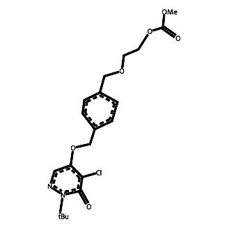 COC(=O)OCCOCc1ccc(COc2cnn(C(C)(C)C)c(=O)c2Cl)cc1